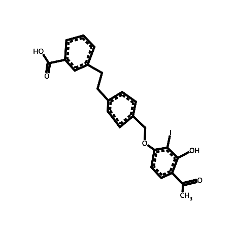 CC(=O)c1ccc(OCc2ccc(CCc3cccc(C(=O)O)c3)cc2)c(I)c1O